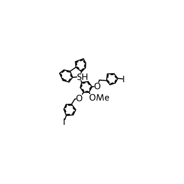 COc1c(OCc2ccc(I)cc2)cc([SH]2c3ccccc3-c3ccccc32)cc1OCc1ccc(I)cc1